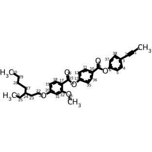 CC#Cc1ccc(OC(=O)c2ccc(OC(=O)c3ccc(OCCC(CC)CCCC)cc3OC)cc2)cc1